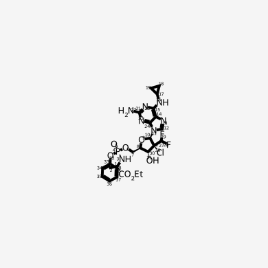 CCOC(=O)[C@H](C)N[P@](=O)(OC[C@H]1O[C@@H](n2cnc3c(NC4CC4)nc(N)nc32)[C@@](Cl)(C(F)F)[C@@H]1O)Oc1ccccc1